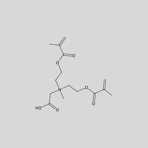 C=C(C)C(=O)OCC[N+](C)(CCOC(=O)C(=C)C)CC(=O)O